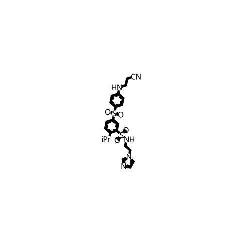 CC(C)c1ccc(S(=O)(=O)c2ccc(NCCC#N)cc2)cc1S(=O)(=O)NCCn1ccnc1